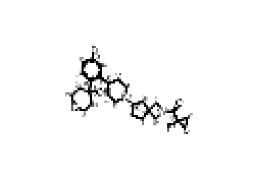 O=C(N1CC2(CC[C@@H](N3CCC(c4cc(F)ccc4C4(O)CCOCC4)CC3)C2)C1)C1(F)CC1